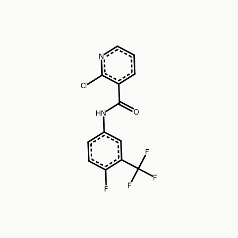 O=C(Nc1ccc(F)c(C(F)(F)F)c1)c1cccnc1Cl